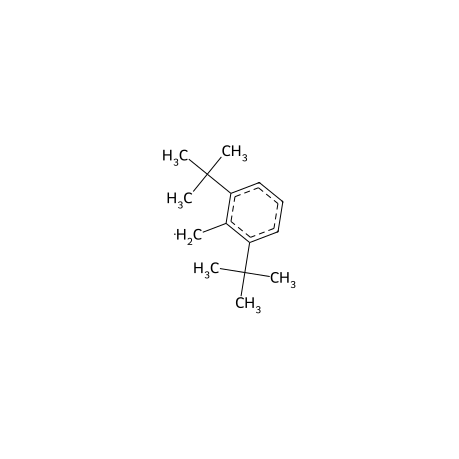 [CH2]c1c(C(C)(C)C)cccc1C(C)(C)C